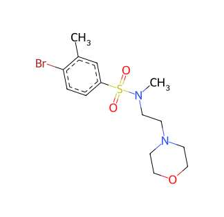 Cc1cc(S(=O)(=O)N(C)CCN2CCOCC2)ccc1Br